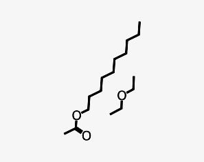 CCCCCCCCCCOC(C)=O.CCOCC